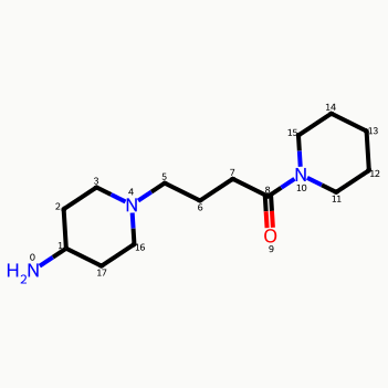 NC1CCN(CCCC(=O)N2CCCCC2)CC1